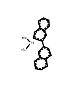 CC(C)(C)PC(C)(C)C.c1ccc2cc(-c3ccc4ccccc4c3)ccc2c1